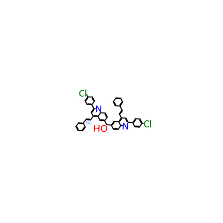 OC(c1ccc2nc(-c3ccc(Cl)cc3)cc(C=Cc3ccccc3)c2c1)c1ccc2nc(-c3ccc(Cl)cc3)cc(/C=C/c3ccccc3)c2c1